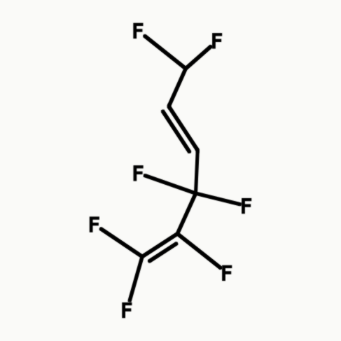 FC(F)=C(F)C(F)(F)C=CC(F)F